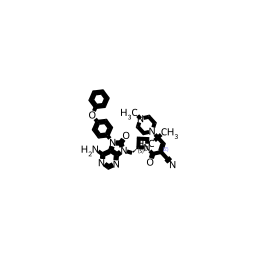 CN1CCN(C(C)(C)/C=C(/C#N)C(=O)N2CC[C@H]2Cn2c(=O)n(-c3ccc(Oc4ccccc4)cc3)c3c(N)ncnc32)CC1